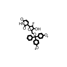 COc1ccc(C(OCC2OC(C3C=CC(=O)NC3=O)C(F)C2O)(c2ccccc2)c2ccc(OC)cc2)cc1